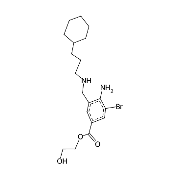 Nc1c(Br)cc(C(=O)OCCO)cc1CNCCCC1CCCCC1